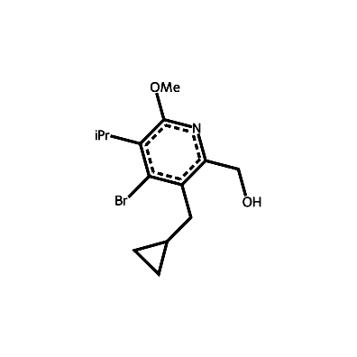 COc1nc(CO)c(CC2CC2)c(Br)c1C(C)C